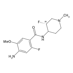 COc1cc(C(=O)NC2CCN(C)C[C@H]2F)c(F)cc1N